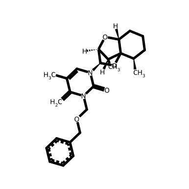 C=C1C(C)=CN([C@@H]2OC34[C@H](C)CCC[C@H]3O[C@H]2[C@H]4C)C(=O)N1COCc1ccccc1